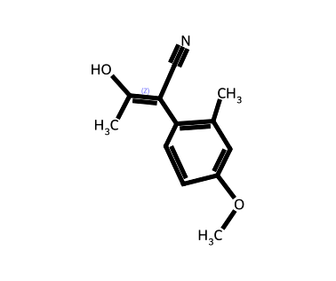 COc1ccc(/C(C#N)=C(\C)O)c(C)c1